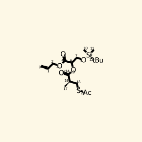 C=CCOC(=O)C(CO[Si](C)(C)C(C)(C)C)OC(=O)[C@H](C)CSC(C)=O